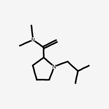 C=C(C1CCCN1CC(C)C)N(C)C